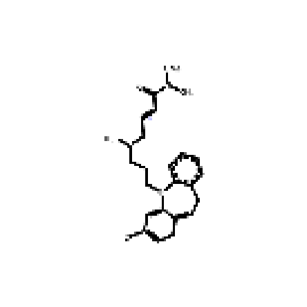 CON(C)C(=O)/C=C/CN(C)CCCN1C2=CC(Cl)=CCC2=CCc2ccccc21